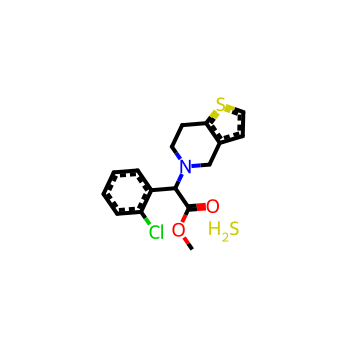 COC(=O)C(c1ccccc1Cl)N1CCc2sccc2C1.S